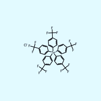 FC(F)(F)c1ccc([Te+](c2ccc(C(F)(F)F)cc2)(c2ccc(C(F)(F)F)cc2)(c2ccc(C(F)(F)F)cc2)c2ccc(C(F)(F)F)cc2)cc1.[Cl-]